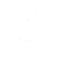 CS(C)(C)c1nc2c3c4c(cc2c2ccccc12)-n1c2ccccc2c2cccc(c21)B4c1ccccc1N3c1ccccc1